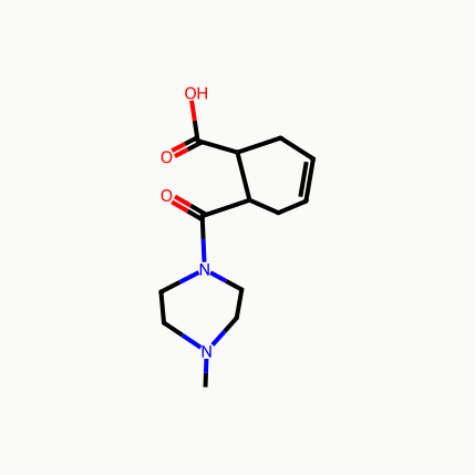 CN1CCN(C(=O)C2CC=CCC2C(=O)O)CC1